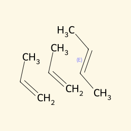 C/C=C/C.C=CC.C=CC